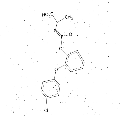 CC(/N=[P+](\[O-])Oc1ccccc1Oc1ccc(Cl)cc1)C(=O)O